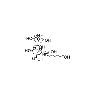 O=C(O)CC(O)(CC(=O)O)C(=O)O.O=C(O)CC(O)(CC(=O)O)C(=O)O.OCCCCC(O)CO